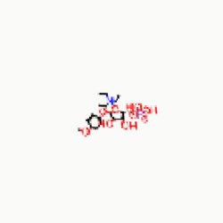 CCN(CC)CC.COc1ccc(O[C@@H]2O[C@H](COP(=O)(O)O)[C@@H](O)[C@H]2O)cc1